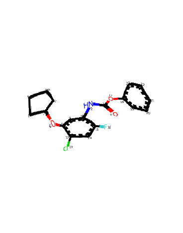 O=C(Nc1cc(OC2CCCC2)c(Cl)cc1F)Oc1ccccc1